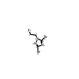 FCCn1nc(Br)nc1Br